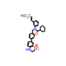 O=C(O)/C=C/c1cccc(N(Cc2ccc(-c3ccc4c(c3)S(=O)(=O)CCN4)cc2)C(=O)C2CCCCC2)c1